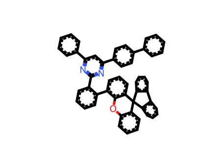 c1ccc(-c2ccc(-c3cc(-c4ccccc4)nc(-c4ccccc4-c4cccc5c4Oc4ccccc4C54c5ccccc5-c5ccccc54)n3)cc2)cc1